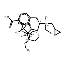 CC[N@+](C)(CC1CC1)[C@@H]1Cc2ccc(C(N)=O)c3c2C2[C@@H](O3)[C@@]3(OC)CC[C@]21C[C@@H]3C(C)(C)O